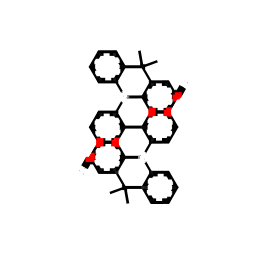 CC1(C)c2ccccc2N(c2ccc(C#N)cc2-c2cc(C#N)ccc2N2c3ccccc3C(C)(C)c3ccccc32)c2ccccc21